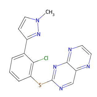 Cn1ccc(-c2cccc(Sc3ncc4nccnc4n3)c2Cl)n1